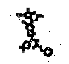 COC[C@H](c1cc2nc([C@@H](NC(=O)OCc3ccccc3)C3CCC(F)(F)CC3)cn2nc1Cl)N1C[C@@H](C(F)(F)F)NC1=O